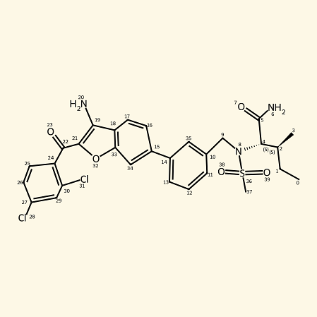 CC[C@H](C)[C@@H](C(N)=O)N(Cc1cccc(-c2ccc3c(N)c(C(=O)c4ccc(Cl)cc4Cl)oc3c2)c1)S(C)(=O)=O